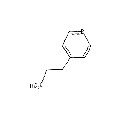 O=C(O)CCc1ccbcc1